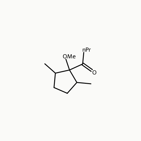 CCCC(=O)C1(OC)C(C)CCC1C